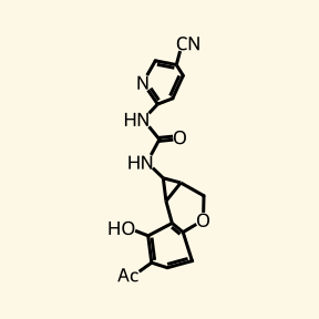 CC(=O)c1ccc2c(c1O)C1C(CO2)C1NC(=O)Nc1ccc(C#N)cn1